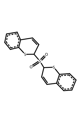 O=S(=O)(C1C=Cc2ccccc2S1)C1C=Cc2ccccc2S1